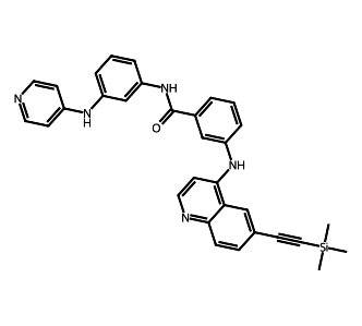 C[Si](C)(C)C#Cc1ccc2nccc(Nc3cccc(C(=O)Nc4cccc(Nc5ccncc5)c4)c3)c2c1